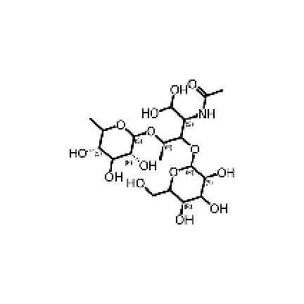 CC(=O)N[C@H](C(O)O)C(O[C@@H]1OC(CO)[C@H](O)C(O)[C@@H]1O)[C@@H](C)O[C@@H]1OC(C)[C@@H](O)C(O)[C@H]1O